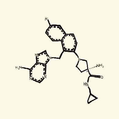 Nc1ncnc2c1ncn2Cc1c(N2CC[C@](N)(C(=O)NC3CC3)C2)ccc2cc(Br)ccc12